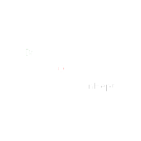 CCCCCCCCCCCCOCCCCCBr